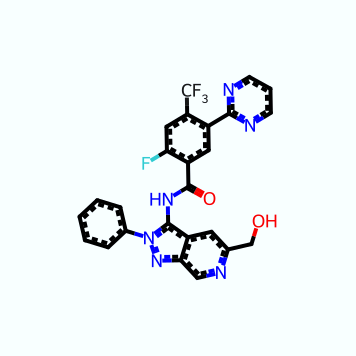 O=C(Nc1c2cc(CO)ncc2nn1-c1ccccc1)c1cc(-c2ncccn2)c(C(F)(F)F)cc1F